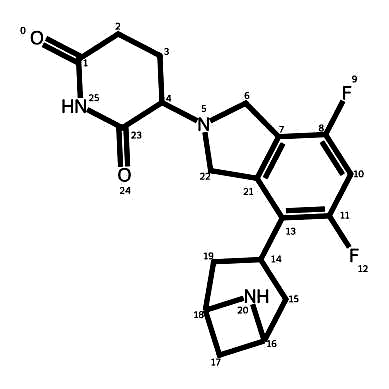 O=C1CCC(N2Cc3c(F)cc(F)c(C4CC5CC(C4)N5)c3C2)C(=O)N1